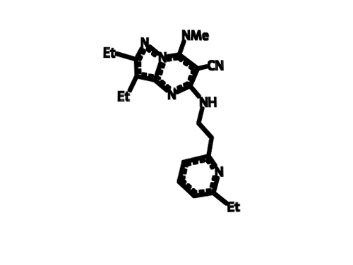 CCc1cccc(CCNc2nc3c(CC)c(CC)nn3c(NC)c2C#N)n1